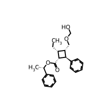 CC[C@@H]1[C@H](COCO)[C@@H](c2ccccc2)[C@@H]1C(=O)O[C@@H](C)c1ccccc1